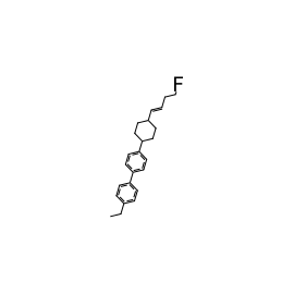 CCc1ccc(-c2ccc(C3CCC(C=CCCF)CC3)cc2)cc1